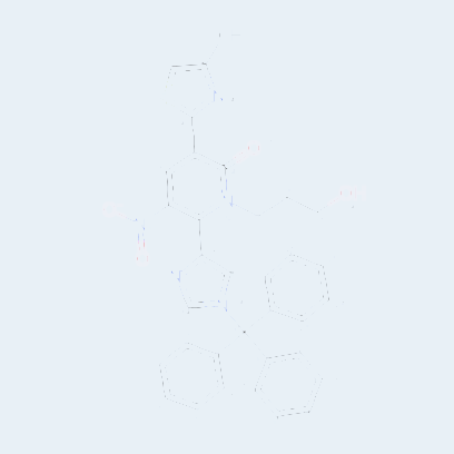 Cc1csc(-c2cc([N+](=O)[O-])c(-c3cn(C(c4ccccc4)(c4ccccc4)c4ccccc4)cn3)n(CCCO)c2=O)n1